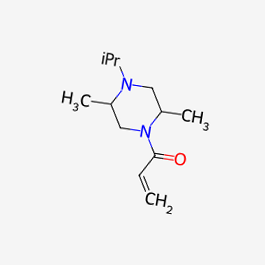 C=CC(=O)N1CC(C)N(C(C)C)CC1C